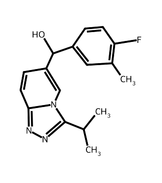 Cc1cc(C(O)c2ccc3nnc(C(C)C)n3c2)ccc1F